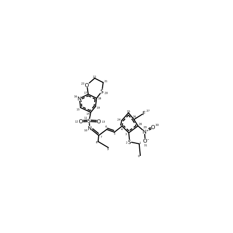 CCSc1c(C=CC(CC)=NS(=O)(=O)c2cnc3c(c2)SCCO3)ccc(F)c1[N+](=O)[O-]